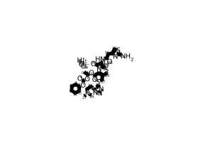 CC(OC(=O)OC1CCCCC1)OC(=O)C1=C(CSc2nnnn2CCN(C)C)CS[C@@H]2[C@H](NC(=O)Cc3csc(N)n3)C(=O)N12.[Cl-].[Cl-].[H+].[H+]